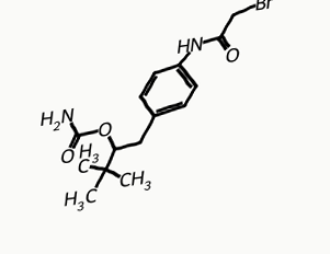 CC(C)(C)C(Cc1ccc(NC(=O)CBr)cc1)OC(N)=O